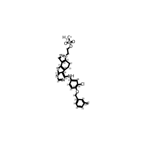 CS(=O)(=O)OCCn1ncc2c1CCc1c-2sc2ncnc(Nc3ccc(OCc4cccc(F)c4)c(Cl)c3)c12